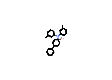 Cc1cccc(N(c2cccc(C)c2)C2(Br)C=CC(c3ccccc3)=CC2)c1